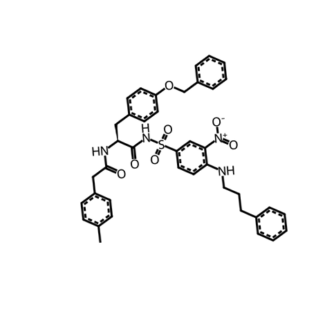 Cc1ccc(CC(=O)N[C@@H](Cc2ccc(OCc3ccccc3)cc2)C(=O)NS(=O)(=O)c2ccc(NCCCc3ccccc3)c([N+](=O)[O-])c2)cc1